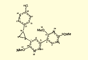 COc1ncc(-c2cc(C3CC3c3ccc(Cl)cc3)c(OC)nn2)c(OC)n1